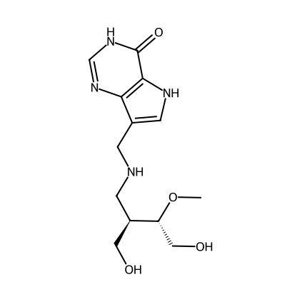 CO[C@H](CO)[C@@H](CO)CNCc1c[nH]c2c(=O)[nH]cnc12